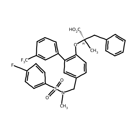 CN(Cc1ccc(O[C@](C)(Cc2ccccc2)C(=O)O)c(-c2cccc(C(F)(F)F)c2)c1)S(=O)(=O)c1ccc(F)cc1